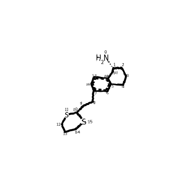 N[C@@H]1CCCc2cc(CCC3SCCCS3)ccc21